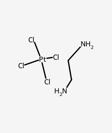 NCCN.[Cl][Pt]([Cl])([Cl])[Cl]